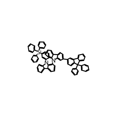 c1ccc(C2(c3ccccc3)c3ccccc3-c3cc(-c4ccc5c6ccccc6n(-c6cccc7c8ccccc8n(-c8cccc([Si](c9ccccc9)(c9ccccc9)c9ccccc9)c8)c67)c5c4)ccc32)cc1